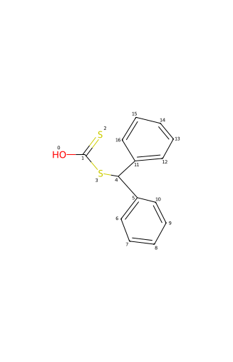 OC(=S)SC(c1ccccc1)c1ccccc1